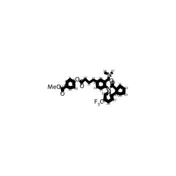 COC(=O)c1ccc(OC(=O)CCCc2ccc(NC(=O)c3ccccc3-c3ccc(C(F)(F)F)cn3)c(C(=O)N(C)C)c2)cc1